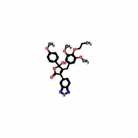 CCCOc1c(OC)cc(CC2=C(c3ccc4nsnc4c3)C(=O)OC2(O)c2ccc(OC)cc2)cc1OC